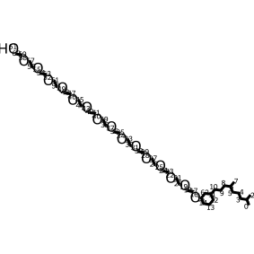 CC(C)CCCC(C)CCCC1CCCC(OCCOCCOCCOCCOCCOCCOCCOCCOCCOCCOCCOCCOCCOCCOCCO)C1